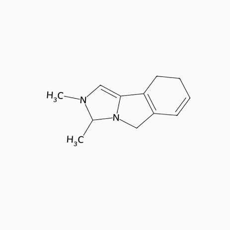 CC1N(C)C=C2C3=C(C=CCC3)CN21